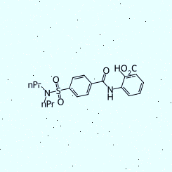 CCCN(CCC)S(=O)(=O)c1ccc(C(=O)Nc2ccccc2C(=O)O)cc1